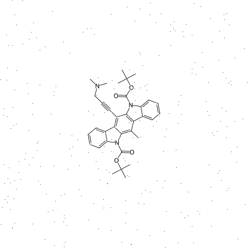 Cc1c2c3ccccc3n(C(=O)OC(C)(C)C)c2c(C#CCN(C)C)c2c3ccccc3n(C(=O)OC(C)(C)C)c12